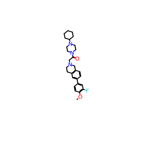 COc1ccc(-c2ccc3c(c2)CCN(CC(=O)N2CCN(C4CCCCC4)CC2)C3)cc1F